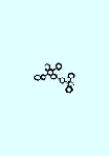 c1ccc2nc(-c3ccccc3)n([C@@H]3C=CC(c4ccc5c(-c6ccc7c(c6)CCC=C7)c6c(c(-c7ccccc7)c5c4)=CCCC=6)=CC3)c2c#1